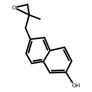 CC1(Cc2ccc3cc(O)ccc3c2)CO1